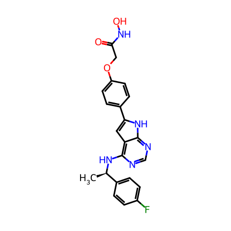 C[C@@H](Nc1ncnc2[nH]c(-c3ccc(OCC(=O)NO)cc3)cc12)c1ccc(F)cc1